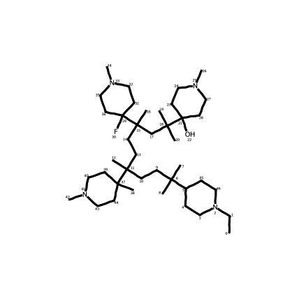 CCN1CCC(C(C)(C)CCC(C)(CCC(C)(CC(C)(C)C2(O)CCN(C)CC2)C2(F)CCN(C)CC2)C2(C)CCN(C)CC2)CC1